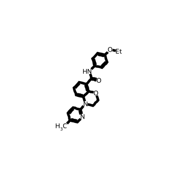 CCOc1ccc(NC(=O)c2cccc3c2OCCN3c2ccc(C)cn2)cc1